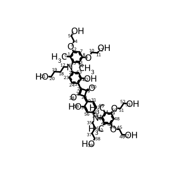 Cc1c(OCCO)cc(OCCO)c(C)c1N(CCCCO)c1ccc(C2=C([O-])/C(=C3C=C/C(=[N+](/CCCCO)c4c(C)c(OCCO)cc(OCCO)c4C)C=C/3O)C2=O)c(O)c1